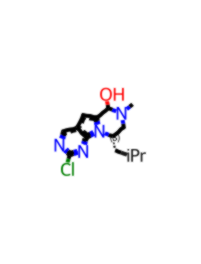 CC(C)C[C@H]1CN(C)C(O)c2cc3cnc(Cl)nc3n21